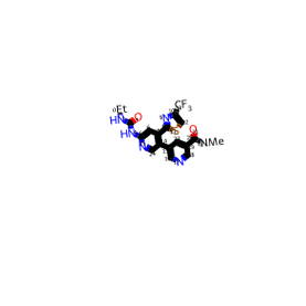 CCNC(=O)Nc1cc(-c2nc(C(F)(F)F)cs2)c(-c2cncc(C(=O)NC)c2)cn1